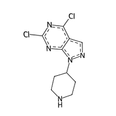 Clc1nc(Cl)c2cnn(C3CCNCC3)c2n1